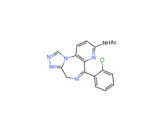 CC(=O)Nc1ccc2c(n1)C(c1ccccc1Cl)=NCc1nncn1-2